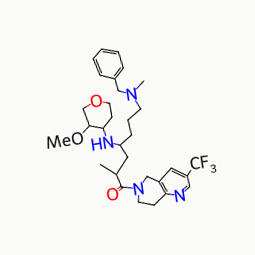 COC1COCCC1NC(CCCN(C)Cc1ccccc1)CC(C)C(=O)N1CCc2ncc(C(F)(F)F)cc2C1